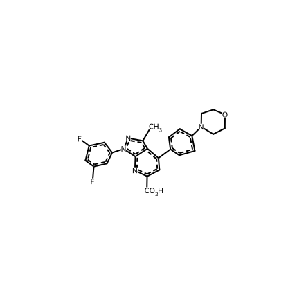 Cc1nn(-c2cc(F)cc(F)c2)c2nc(C(=O)O)cc(-c3ccc(N4CCOCC4)cc3)c12